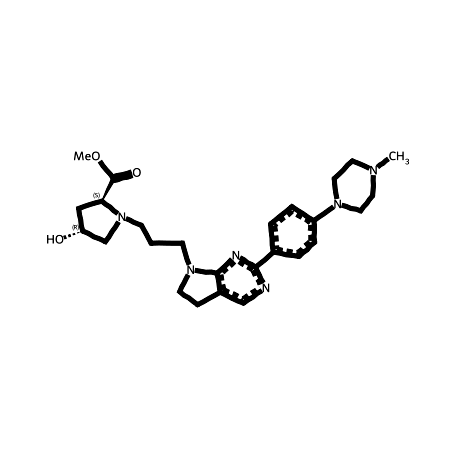 COC(=O)[C@@H]1C[C@@H](O)CN1CCCN1CCc2cnc(-c3ccc(N4CCN(C)CC4)cc3)nc21